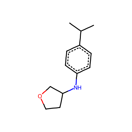 CC(C)c1ccc(NC2CCOC2)cc1